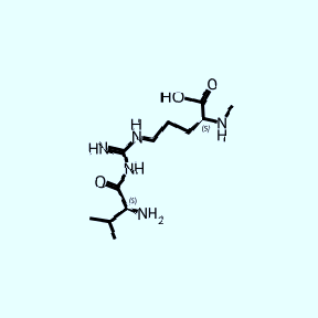 CN[C@@H](CCCNC(=N)NC(=O)[C@@H](N)C(C)C)C(=O)O